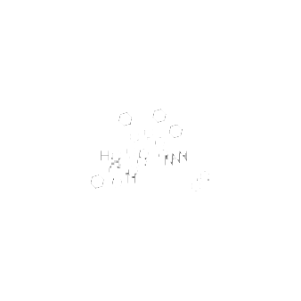 COC(=O)CCCCCCCCO[C@H]1O[C@@H]2COC(c3ccccc3)O[C@H]2[C@H](O)[C@H]1O[C@H]1O[C@H](CON=[N+]=[N-])[C@@H](OCc2ccccc2)[C@H](OCc2ccccc2)[C@H]1OCc1ccccc1